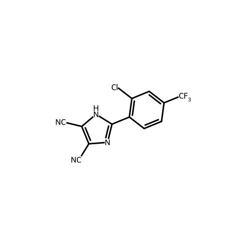 N#Cc1nc(-c2ccc(C(F)(F)F)cc2Cl)[nH]c1C#N